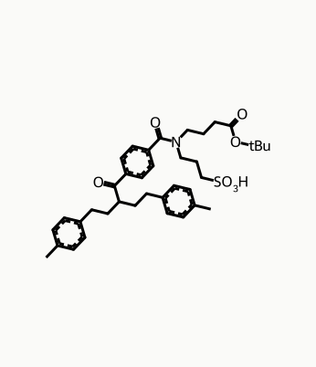 Cc1ccc(CCC(CCc2ccc(C)cc2)C(=O)c2ccc(C(=O)N(CCCC(=O)OC(C)(C)C)CCCS(=O)(=O)O)cc2)cc1